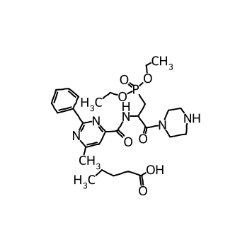 CCCCC(=O)O.CCOP(=O)(CC(NC(=O)c1cc(C)nc(-c2ccccc2)n1)C(=O)N1CCNCC1)OCC